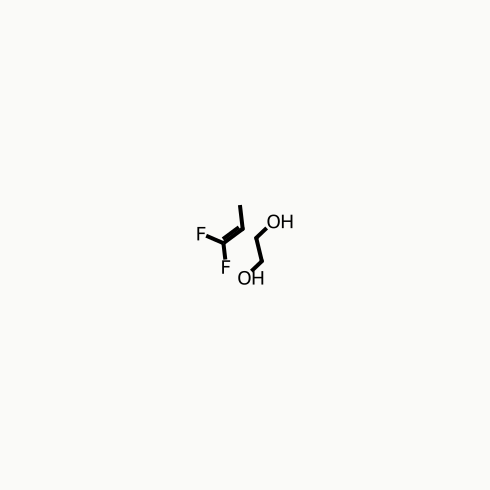 CC=C(F)F.OCCO